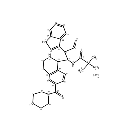 CC(C)(N)C(=O)NC(C(C=O)c1c[nH]c2ccccc12)C1NCCc2cc(C(=O)N3CCOCC3)ccc21.Cl